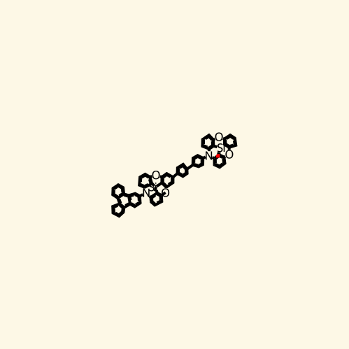 C[Si]12c3c4cccc3Oc3cccc(c31)N(c1ccc(-c3ccc(-c5cc6c7c(c5)Oc5cccc8c5[Si]7(C)c5c(cccc5N8c5ccc7c8ccccc8c8ccccc8c7c5)O6)cc3)cc1)c1cccc(c12)O4